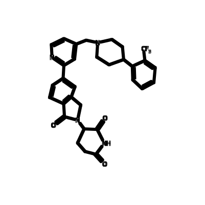 O=C1CCC(N2Cc3cc(-c4cc(CN5CCC(c6ccccc6C(F)(F)F)CC5)ccn4)ccc3C2=O)C(=O)N1